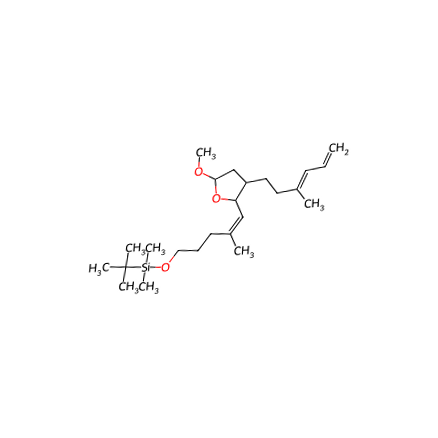 C=CC=C(C)CCC1CC(OC)OC1C=C(C)CCCO[Si](C)(C)C(C)(C)C